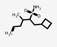 C=CCC(C)C(CC1CCC1)S(N)(=O)=O